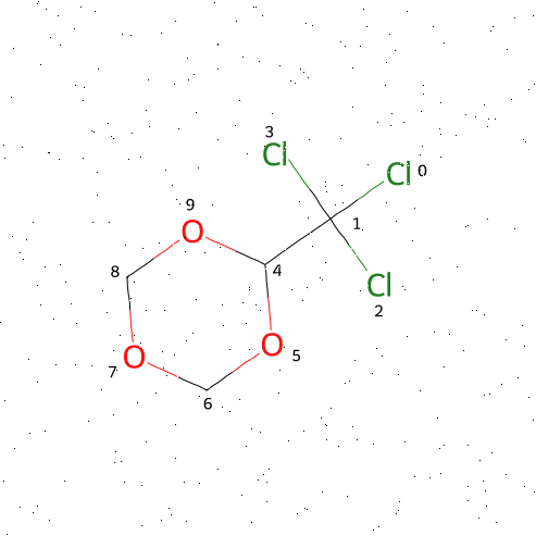 ClC(Cl)(Cl)C1OCOCO1